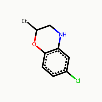 CCC1CNc2cc(Cl)ccc2O1